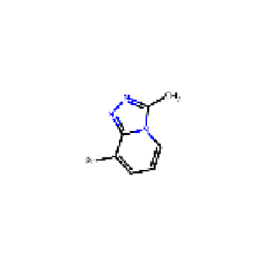 Cc1nnc2c(C(C)C)cccn12